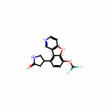 O=C1CC(c2ccc(OC(F)F)c3oc4ccncc4c23)CN1